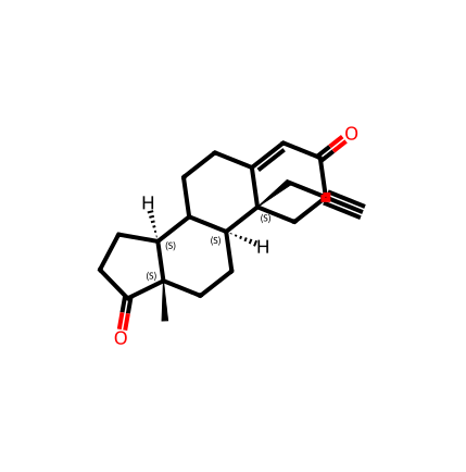 C#CC[C@]12CCC(=O)C=C1CCC1[C@@H]2CC[C@]2(C)C(=O)CC[C@@H]12